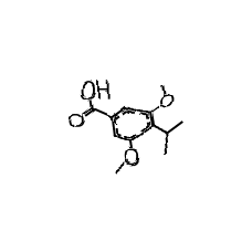 COc1cc(C(=O)O)cc(OC)c1C(C)C